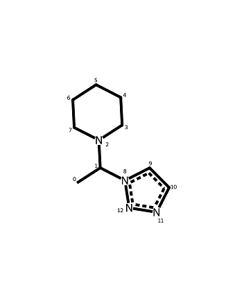 CC(N1CCCCC1)n1ccnn1